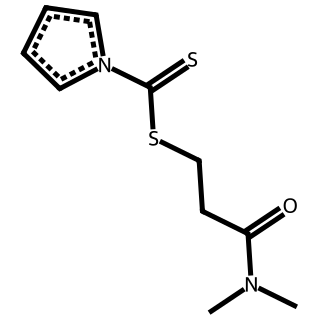 CN(C)C(=O)CCSC(=S)n1cccc1